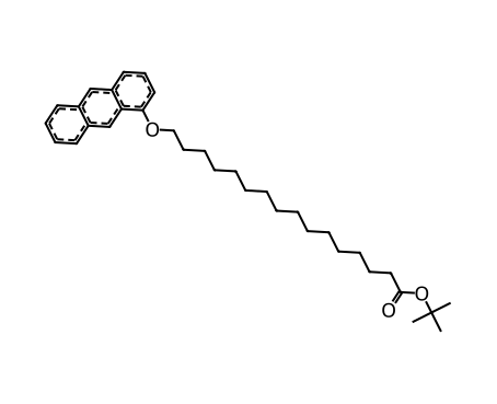 CC(C)(C)OC(=O)CCCCCCCCCCCCCCCOc1cccc2cc3ccccc3cc12